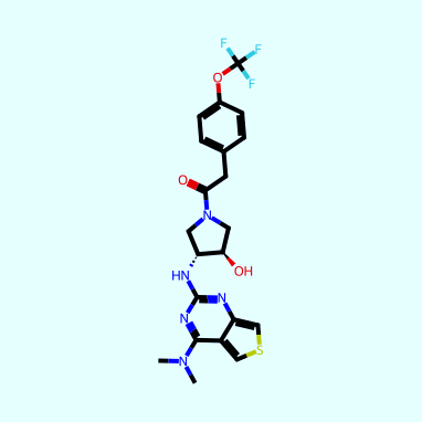 CN(C)c1nc(N[C@@H]2CN(C(=O)Cc3ccc(OC(F)(F)F)cc3)C[C@H]2O)nc2cscc12